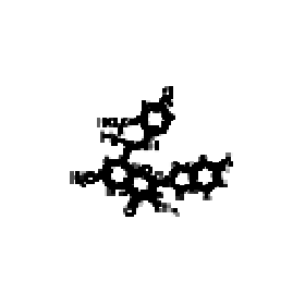 Cc1cc(C(C)Nc2ccc(Cl)nc2C(=O)O)c2oc(N3Cc4ccc(F)cc4C3)c(C)c(=O)c2c1